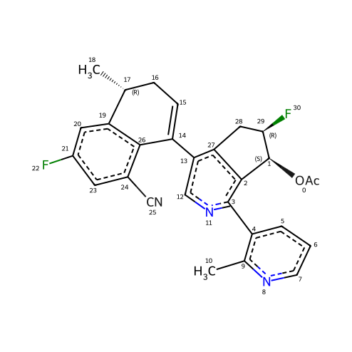 CC(=O)O[C@H]1c2c(-c3cccnc3C)ncc(C3=CC[C@@H](C)c4cc(F)cc(C#N)c43)c2C[C@H]1F